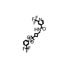 CC(C)(C1CC(CNC(=O)c2ccnc(C(F)(F)F)c2)C1)S(=O)(=O)c1cccc(C(F)(F)F)c1